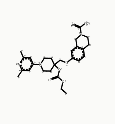 CCOC(=O)OC1(COc2ccc3c(c2)CN(C(=N)N)CC3)CCN(c2cc(C)nc(C)c2)CC1